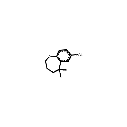 CC(=O)c1ccc2c(c1)C(C)(C)CCCS2